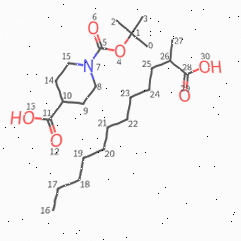 CC(C)(C)OC(=O)N1CCC(C(=O)O)CC1.CCCCCCCCCCC(C)C(=O)O